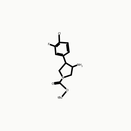 CC(C)(C)OC(=O)N1CC(N)C(c2ccc(Cl)c(F)c2)C1